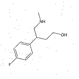 CNCC(CCO)c1ccc(F)cc1